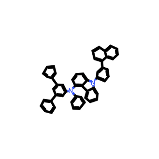 c1ccc(-c2cc(-c3ccccc3)cc(N(c3ccccc3)c3cccc4c3c3ccccc3n4-c3cccc(-c4cccc5ccccc45)c3)c2)cc1